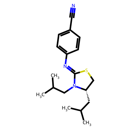 CC(C)C[C@H]1CS/C(=N\c2ccc(C#N)cc2)N1CC(C)C